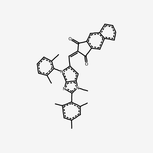 Cc1cc(C)c(-c2nc3c(cc(C=C4C(=O)c5cc6ccccc6cc5C4=O)n3-c3c(C)cccc3C)n2C)c(C)c1